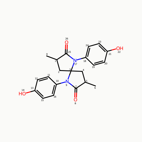 CC1CC2(CC(C)C(=O)N2c2ccc(O)cc2)N(c2ccc(O)cc2)C1=O